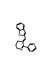 C(=C1CCCN=C1c1cccnc1)c1cc2ccccc2o1